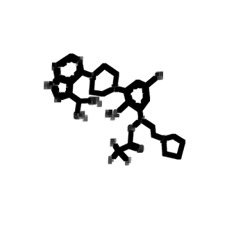 Cc1c(N2CCN(c3ncnc4[nH]nc(C(C)C)c34)CC2)cc(Cl)cc1N(CCN1CCCC1)OC(=O)C(F)(F)F